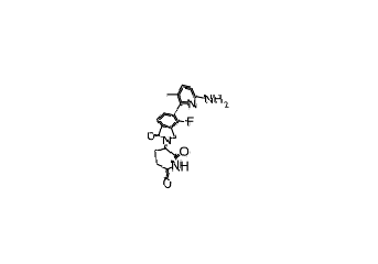 Cc1ccc(N)nc1-c1ccc2c(c1F)CN(C1CCC(=O)NC1=O)C2=O